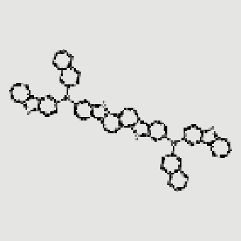 c1ccc2cc(N(c3ccc4c(c3)sc3c4ccc4c3ccc3c5ccc(N(c6ccc7ccccc7c6)c6ccc7sc8ccccc8c7c6)cc5sc34)c3ccc4sc5ccccc5c4c3)ccc2c1